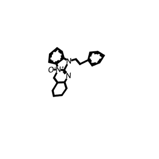 [O-][N+]12CC3CCCCC3N=C1N(CCc1ccccc1)c1ccccc12